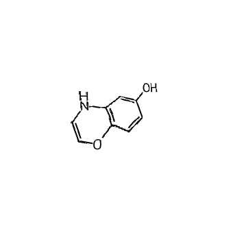 Oc1ccc2c(c1)NC=CO2